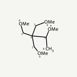 COCC(COC)(COC)C(C)OC